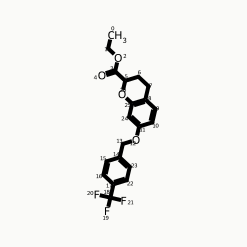 CCOC(=O)C1CCc2ccc(OCc3ccc(C(F)(F)F)cc3)cc2O1